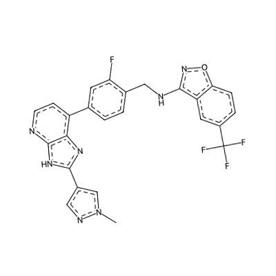 Cn1cc(-c2nc3c(-c4ccc(CNc5noc6ccc(C(F)(F)F)cc56)c(F)c4)ccnc3[nH]2)cn1